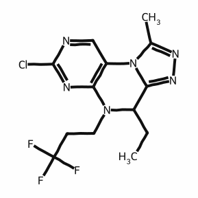 CCC1c2nnc(C)n2-c2cnc(Cl)nc2N1CCC(F)(F)F